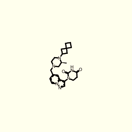 C[C@H]1CN(Cc2ccn3ncc(N4CCC(=O)NC4=O)c3c2)CCN1C1CC2(CCC2)C1